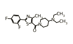 CCN(CC)C1CCN(C(=O)c2sc(-c3ccc(F)cc3F)nc2C)CC1